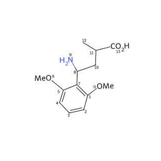 COc1cccc(OC)c1C(N)CC(C)C(=O)O